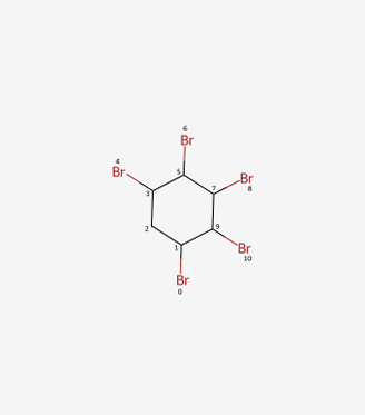 BrC1CC(Br)C(Br)C(Br)C1Br